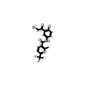 Cc1nc(C(F)(F)F)ccc1C(=O)Nc1ccc(Cl)c(C(=O)CBr)c1